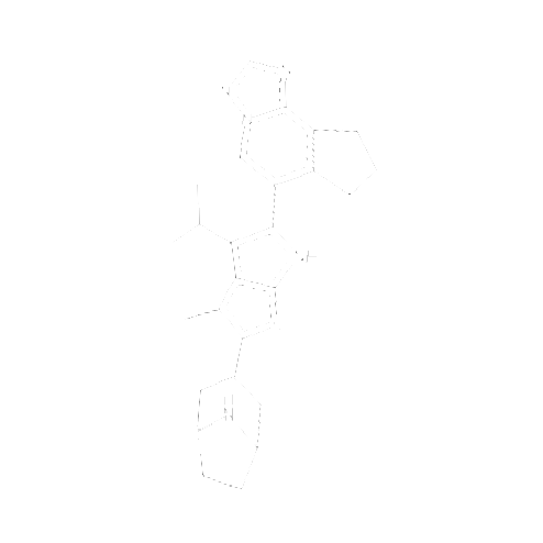 Cc1c(C2CC3CCC(C2)N3)sc2[nH]c(-c3cn4ncnc4c4c3CCC4)c(C(C)C)c12